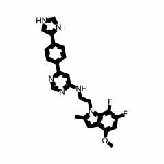 COc1cc(F)c(F)c2c1cc(C)n2CCNc1cc(-c2ccc(-c3c[nH]cn3)cc2)ncn1